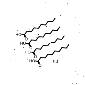 CCCCCCCCCC(=O)O.CCCCCCCCCC(=O)O.CCCCCCCCCC(=O)O.CCCCCCCCCC(=O)O.[Cd]